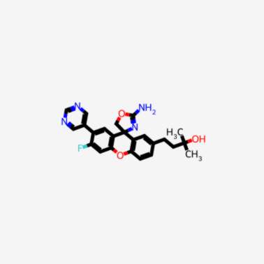 CC(C)(O)CCc1ccc2c(c1)C1(COC(N)=N1)c1cc(-c3cncnc3)c(F)cc1O2